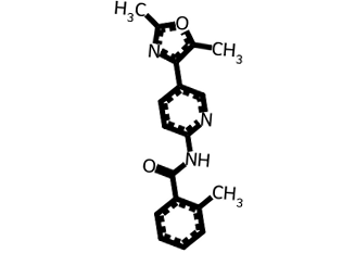 Cc1nc(-c2ccc(NC(=O)c3ccccc3C)nc2)c(C)o1